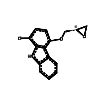 Clc1ccc(OC[C@@H]2CO2)c2c1[nH]c1ccccc12